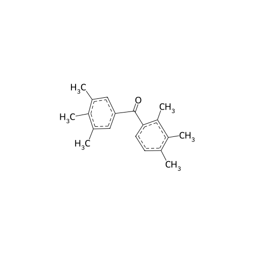 Cc1cc(C(=O)c2ccc(C)c(C)c2C)cc(C)c1C